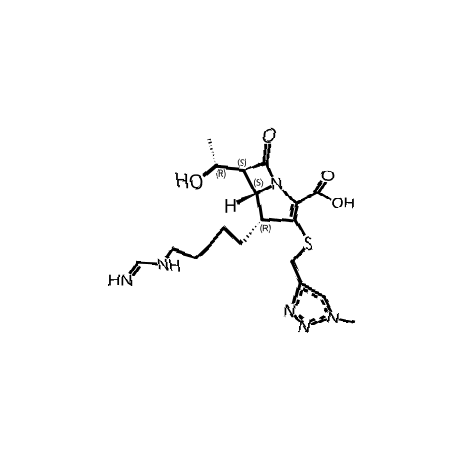 C[C@@H](O)[C@H]1C(=O)N2C(C(=O)O)=C(SCc3cn(C)nn3)[C@H](CCCCNC=N)[C@H]12